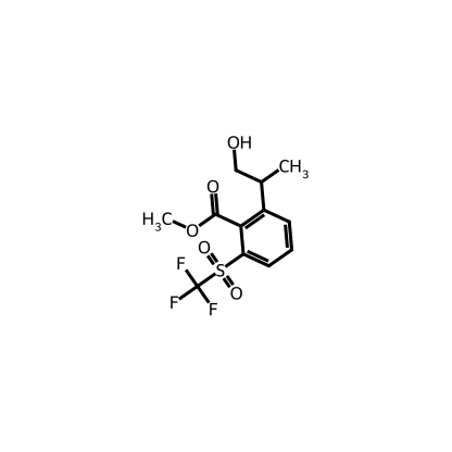 COC(=O)c1c(C(C)CO)cccc1S(=O)(=O)C(F)(F)F